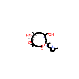 CC1=NC(/C=C(\C)[C@@H]2C/C=C(\CO)CCC[C@H](C)[C@H](O)[C@@H](C)C(=O)C(C)(C)CCC(=O)O2)=CC1